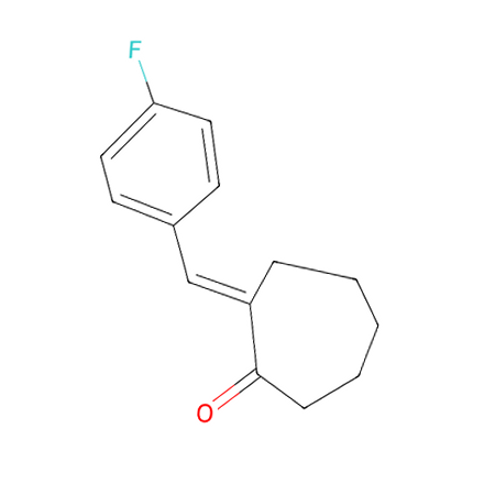 O=C1CCCCCC1=Cc1ccc(F)cc1